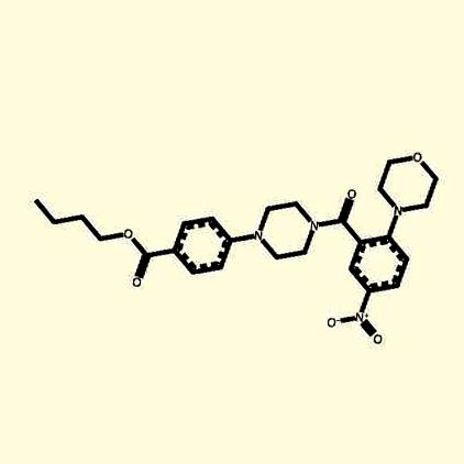 CCCCOC(=O)c1ccc(N2CCN(C(=O)c3cc([N+](=O)[O-])ccc3N3CCOCC3)CC2)cc1